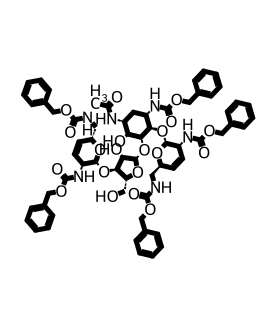 CC(=O)N[C@@H]1C[C@H](NC(=O)OCc2ccccc2)[C@@H](O[C@H]2O[C@H](CNC(=O)OCc3ccccc3)C=C[C@H]2NC(=O)OCc2ccccc2)[C@H](O[C@@H]2O[C@H](CO)[C@@H](O[C@H]3O[C@@H](CNC(=O)OCc4ccccc4)C=C[C@H]3NC(=O)OCc3ccccc3)[C@H]2O)[C@H]1O